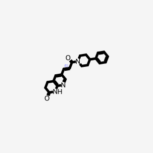 O=C1CCc2cc(/C=C/C(=O)N3CCC(c4ccccc4)CC3)cnc2N1